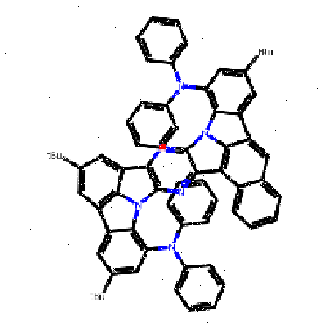 CC(C)(C)c1cc(N(c2ccccc2)c2ccccc2)c2c(c1)c1cc(C(C)(C)C)cc3c4nc5c(nc4n2c13)c1c2ccccc2cc2c3cc(C(C)(C)C)cc(N(c4ccccc4)c4ccccc4)c3n5c21